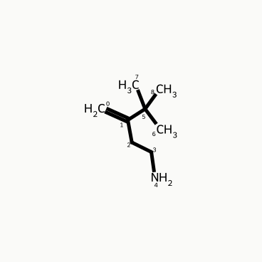 C=C(CCN)C(C)(C)C